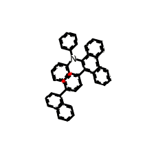 c1ccc(N(c2ccccc2)c2c(-c3ccc(-c4cccc5ccccc45)cc3)c3ccccc3c3ccccc23)cc1